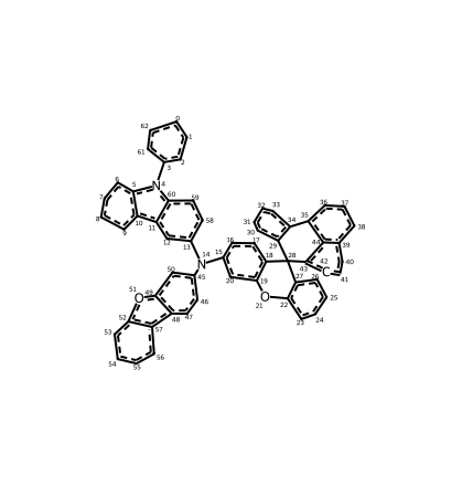 c1ccc(-n2c3ccccc3c3cc(N(c4ccc5c(c4)Oc4ccccc4C54c5ccccc5-c5cccc6cccc4c56)c4ccc5c(c4)oc4ccccc45)ccc32)cc1